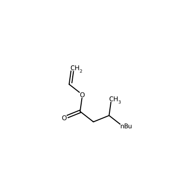 C=COC(=O)CC(C)CCCC